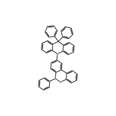 c1ccc(B2Sc3ccccc3-c3cc(N4c5ccccc5C(c5ccccc5)(c5ccccc5)c5ccccc54)ccc32)cc1